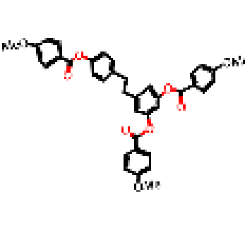 COc1ccc(C(=O)Oc2ccc(CCc3cc(OC(=O)c4ccc(OC)cc4)cc(OC(=O)c4ccc(OC)cc4)c3)cc2)cc1